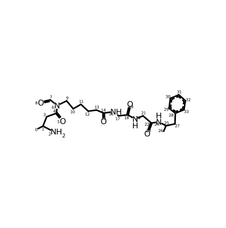 CC(N)CC(=O)N(C=O)CCCCCC(=O)NCC(=O)NCC(=O)NC(C)Cc1ccccc1